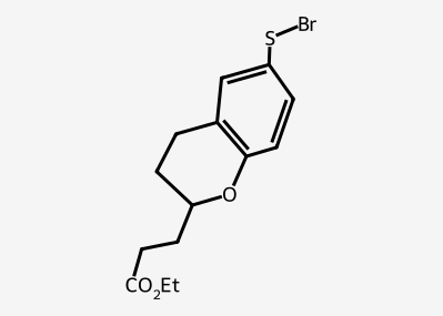 CCOC(=O)CCC1CCc2cc(SBr)ccc2O1